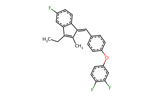 CCC1=C(C)/C(=C\c2ccc(Oc3ccc(F)c(F)c3)cc2)c2ccc(F)cc21